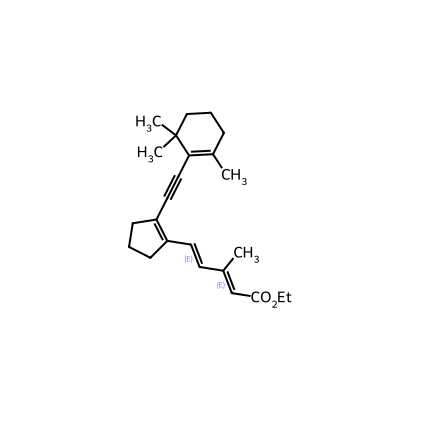 CCOC(=O)/C=C(C)/C=C/C1=C(C#CC2=C(C)CCCC2(C)C)CCC1